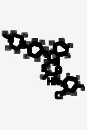 Cc1ccc(NC(=O)C(C)Sc2nc3ccccc3n2-c2ccc(N3CCN(C)CC3)cc2)c(Cl)c1